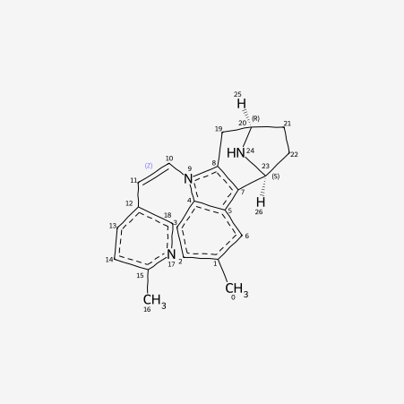 Cc1ccc2c(c1)c1c(n2/C=C\c2ccc(C)nc2)C[C@H]2CC[C@@H]1N2